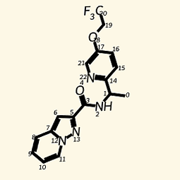 CC(NC(=O)c1cc2ccccn2n1)c1ccc(OCC(F)(F)F)cn1